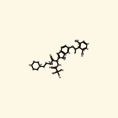 CC(Oc1ccc2nc(N(OC(=O)C(F)(F)F)C(=O)NCCN3CCOCC3)[nH]c2c1)c1c(Cl)cccc1Cl